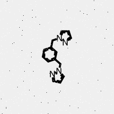 c1cc(Cn2cccn2)cc(Cn2cccn2)c1